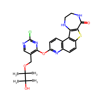 BC(B)(O)C(B)(B)OCc1cnc(Cl)nc1Oc1ccc2c(ccc3sc4c(c32)NCCNC4=O)n1